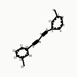 Cc1cccc(C#CC#Cc2cccc(C)c2)c1